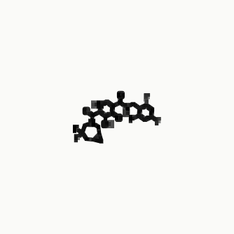 O=C(NCc1c(F)cc(F)cc1F)c1c[nH]c(C(=O)N2CC3CC3CC(F)(F)C2)c(O)c1=O